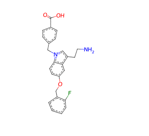 NCCc1cn(Cc2ccc(C(=O)O)cc2)c2ccc(OCc3ccccc3F)cc12